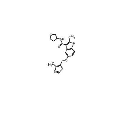 Cc1ncsc1COc1ccc2sc(C)c(C(=O)NC3CCOC3)c2c1